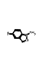 Fc1ccc2c(c1)COB2P